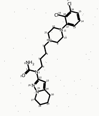 NC(=O)N(CCCCN1CCN(c2cccc(Cl)c2Cl)CC1)c1cc2n(n1)CCCC2